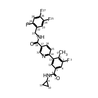 Cc1c(F)cc(C(=O)NC2CC2)cc1-c1ccc(C(=O)NCc2cc(F)c(F)cc2F)cn1